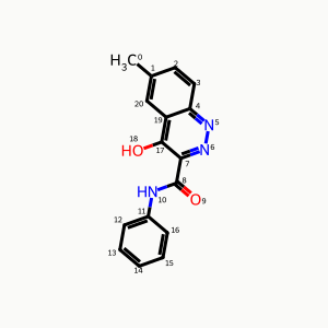 Cc1ccc2nnc(C(=O)Nc3ccccc3)c(O)c2c1